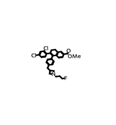 COC(=O)c1ccc2c(c1)CCC(c1ccc(Cl)cc1Cl)=C2c1ccc(CC2CN(CCCF)C2)cc1